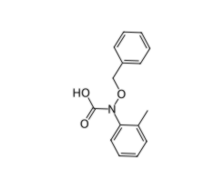 Cc1ccccc1N(OCc1ccccc1)C(=O)O